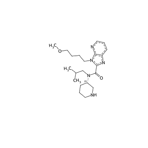 COCCCCn1c(C(=O)N(CC(C)C)[C@H]2CCCNC2)nc2cccnc21